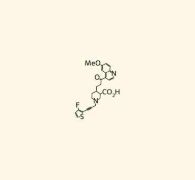 COc1ccc2nccc(C(=O)CCC3CCN(CC#Cc4sccc4F)CC3C(=O)O)c2c1